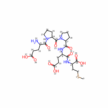 CSCCC(NC(=O)C(CCC(=O)O)NC(=O)C1CCCN1C(=O)C1CCCN1C(=O)C(N)CCC(=O)O)C(=O)O